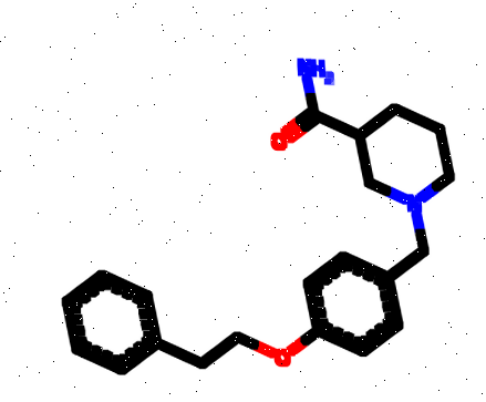 NC(=O)C1CCCN(Cc2ccc(OCCc3ccccc3)cc2)C1